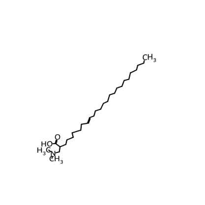 CCCCCCCCCCCCCCCCC=CCCCCCCC(CN(C)C)C(=O)O